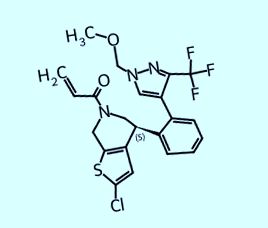 C=CC(=O)N1Cc2sc(Cl)cc2[C@H](c2ccccc2-c2cn(COC)nc2C(F)(F)F)C1